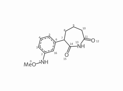 CONc1cccc(C2CCCC(=O)NC2=O)c1